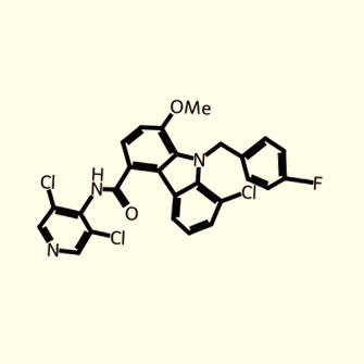 COc1ccc(C(=O)Nc2c(Cl)cncc2Cl)c2c3cccc(Cl)c3n(Cc3ccc(F)cc3)c12